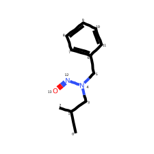 CC(C)CN(Cc1ccccc1)N=O